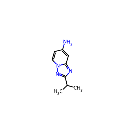 CC(C)c1nc2cc(N)ccn2n1